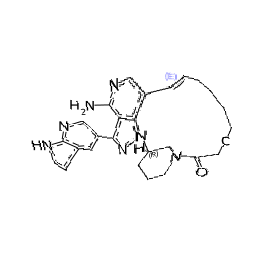 Nc1ncc2c3c1c(-c1cnc4[nH]ccc4c1)nn3[C@@H]1CCCN(C1)C(=O)CCCCCC/C=C/2